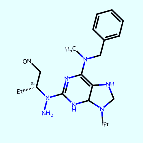 CC[C@H](CN=O)N(N)C1=NC(N(C)Cc2ccccc2)=C2NCN(C(C)C)C2N1